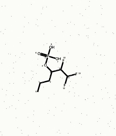 CCCC(OP(=O)(O)O)C(F)C(F)F